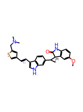 COc1ccc2c(c1)[C@]1(CC1c1ccc3c(/C=C/c4csc(CN(C)C)c4)c[nH]c3c1)C(=O)N2